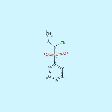 CCC(Cl)S(=O)(=O)c1ccccc1